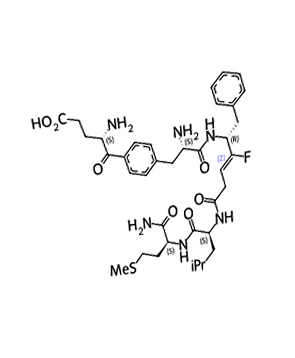 CSCC[C@H](NC(=O)[C@H](CC(C)C)NC(=O)C/C=C(\F)[C@@H](Cc1ccccc1)NC(=O)[C@@H](N)Cc1ccc(C(=O)[C@@H](N)CCC(=O)O)cc1)C(N)=O